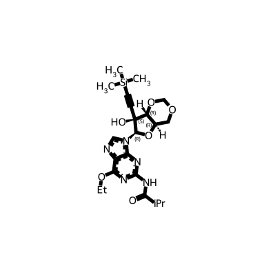 CCOc1nc(NC(=O)C(C)C)nc2c1ncn2[C@@H]1O[C@@H]2COCO[C@H]2[C@@]1(O)C#C[Si](C)(C)C